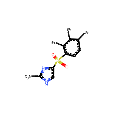 CC(C)c1ccc(S(=O)(=O)c2c[nH]c([N+](=O)[O-])n2)c(C(C)C)c1C(C)C